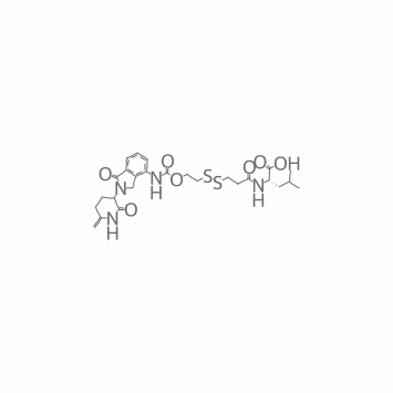 C=C1CCC(N2Cc3c(NC(=O)OCCSSCCC(=O)N[C@@H](CC(C)C)C(=O)O)cccc3C2=O)C(=O)N1